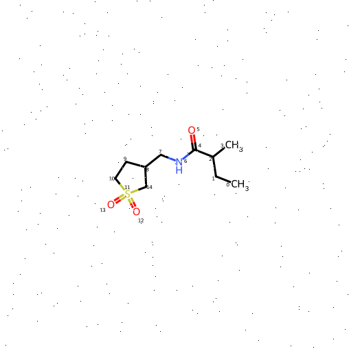 CCC(C)C(=O)NCC1CCS(=O)(=O)C1